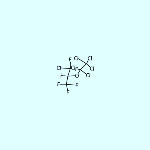 FC(F)(F)C(F)(OC(F)(Cl)C(Cl)(Cl)Cl)C(F)(Cl)Cl